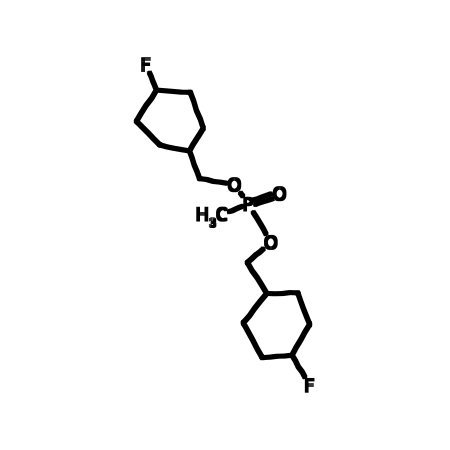 CP(=O)(OCC1CCC(F)CC1)OCC1CCC(F)CC1